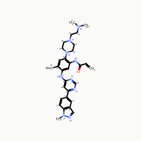 C=CC(=O)Nc1cc(Nc2cc(-c3ccc4c(cnn4CC)c3)ncn2)c(OC)cc1N1CCN(CCN(C)C)CC1